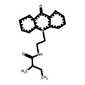 CCC(C)C(=O)NCCn1c2ccccc2c(=O)c2ccccc21